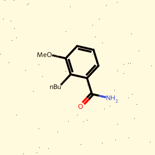 CCCCc1c(OC)cccc1C(N)=O